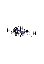 CC1=C(/C=C/C(C)=C/C=C/C(C)=C(\Cc2ccccc2)C(=O)O)C(C)(C)CCC1